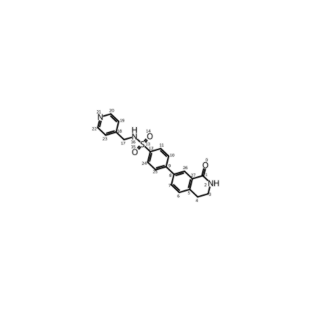 O=C1NCCc2ccc(-c3ccc(S(=O)(=O)NCc4ccncc4)cc3)cc21